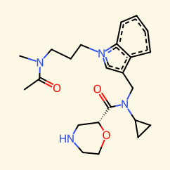 CC(=O)N(C)CCCn1cc(CN(C(=O)[C@H]2CNCCO2)C2CC2)c2ccccc21